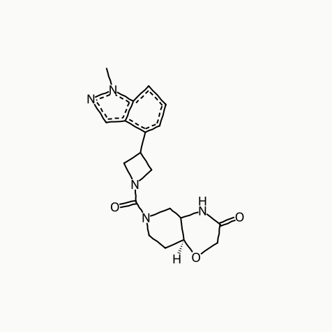 Cn1ncc2c(C3CN(C(=O)N4CC[C@@H]5OCC(=O)NC5C4)C3)cccc21